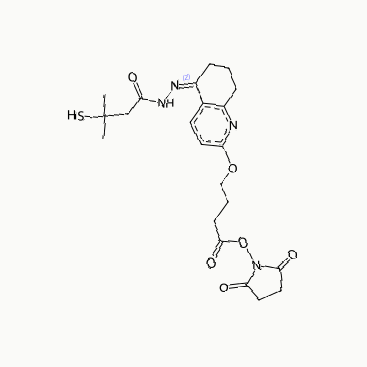 CC(C)(S)CC(=O)N/N=C1/CCCc2nc(OCCCC(=O)ON3C(=O)CCC3=O)ccc21